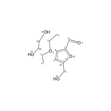 CCOCC.O=Cc1ccc(CO)o1.OCCO